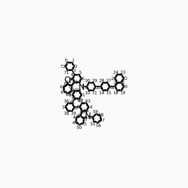 c1ccc(-c2ccc(N(c3ccc(-c4ccc(-c5cccc6ccccc56)cc4)cc3)c3ccc(-c4ccccc4-c4cccc5c4c4ccccc4n5-c4ccccc4)cc3)c3c2oc2ccccc23)cc1